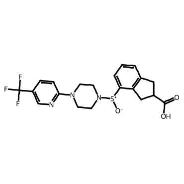 O=C(O)C1Cc2cccc([S+]([O-])N3CCN(c4ccc(C(F)(F)F)cn4)CC3)c2C1